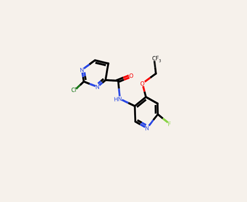 O=C(Nc1cnc(F)cc1OCC(F)(F)F)c1ccnc(Cl)n1